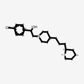 OC(CN1CCC(CCCC2CCCCC2)CC1)c1ccc(Cl)cc1